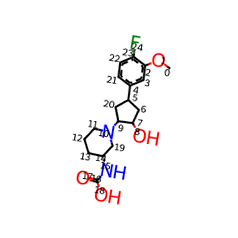 COc1cc(C2CC(O)C(N3CCC[C@@H](NC(=O)O)C3)C2)ccc1F